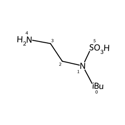 CCC(C)N(CCN)S(=O)(=O)O